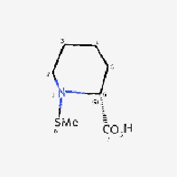 CSN1CCCC[C@@H]1C(=O)O